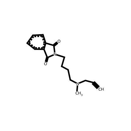 C#CCN(C)CCCCN1C(=O)c2ccccc2C1=O